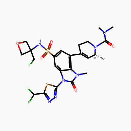 C[C@@H]1C=C(c2cc(S(=O)(=O)NC3(CF)COC3)cc3c2n(C)c(=O)n3-c2nnc(C(F)F)s2)CCN1C(=O)N(C)C